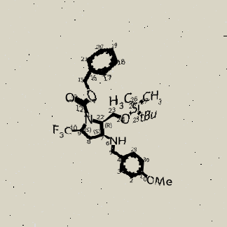 COc1ccc(CN[C@H]2C[C@@H](C(F)(F)F)N(C(=O)OCc3ccccc3)[C@H]2CO[Si](C)(C)C(C)(C)C)cc1